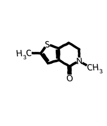 Cc1cc2c(s1)CCN(C)C2=O